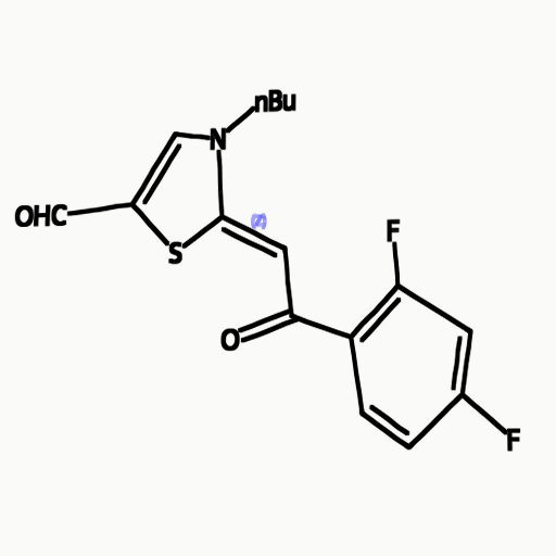 CCCCN1C=C(C=O)S/C1=C\C(=O)c1ccc(F)cc1F